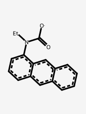 CCN(C([O])=O)c1cccc2cc3ccccc3cc12